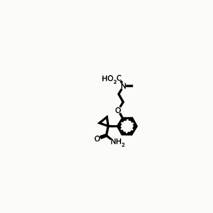 CN(CCOc1ccccc1C1(C(N)=O)CC1)C(=O)O